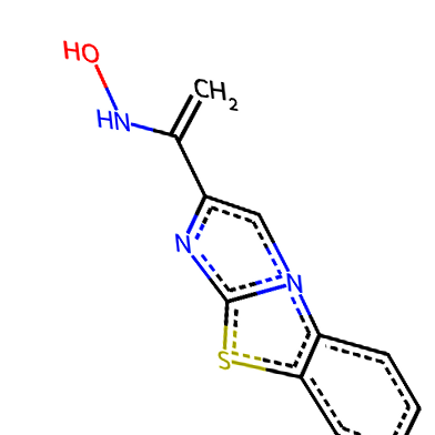 C=C(NO)c1cn2c(n1)sc1ccccc12